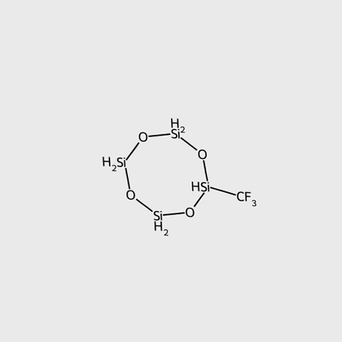 FC(F)(F)[SiH]1O[SiH2]O[SiH2]O[SiH2]O1